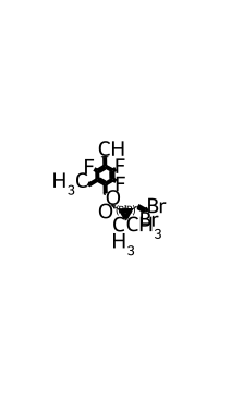 C#Cc1c(F)c(F)c(COC(=O)[C@@H]2[C@H](C=C(Br)Br)C2(C)C)c(CC)c1F